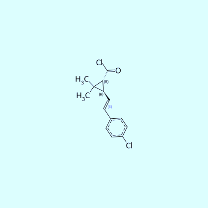 CC1(C)[C@H](/C=C/c2ccc(Cl)cc2)[C@H]1C(=O)Cl